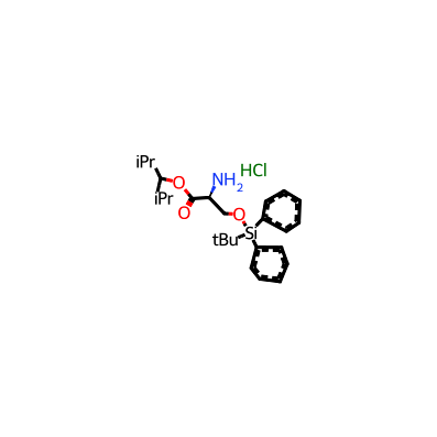 CC(C)C(OC(=O)[C@@H](N)CO[Si](c1ccccc1)(c1ccccc1)C(C)(C)C)C(C)C.Cl